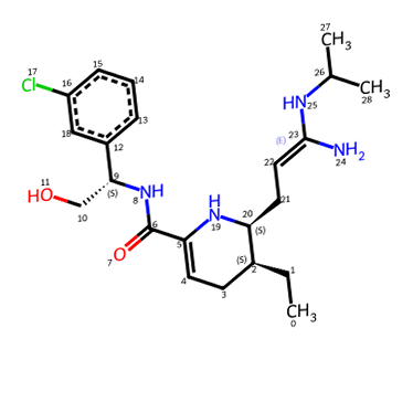 CC[C@H]1CC=C(C(=O)N[C@H](CO)c2cccc(Cl)c2)N[C@H]1C/C=C(\N)NC(C)C